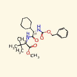 COC(=O)C(NC(=O)[C@@H](NC(=O)OCc1ccccc1)C1CCCCC1)C(C)(C)C